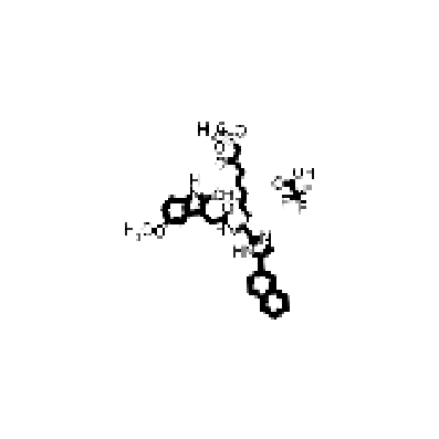 COc1ccc2[nH]c(C)c(CC(=O)N[C@@H](CCCCCC(=O)CS(C)(=O)=O)c3ncc(-c4ccc5ccccc5c4)[nH]3)c2c1.O=C(O)C(F)(F)F